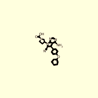 N#Cc1c(-c2ccc(Oc3ccccc3)cc2)c2c(N)ncnc2n1C1CCN(C(=O)O)C1